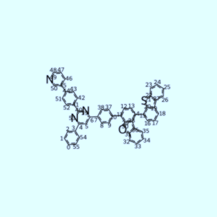 c1ccc(-c2cc(-c3ccc(-c4ccc(-c5cccc6c5sc5ccccc56)c5c4oc4ccccc45)cc3)nc(-c3ccc(-c4cccnc4)cc3)n2)cc1